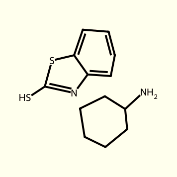 NC1CCCCC1.Sc1nc2ccccc2s1